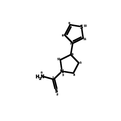 NC(=S)N1CCC(c2ccsc2)C1